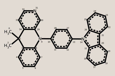 CC1(C)c2ccccc2N(c2ccc(-n3c4ccccc4c4ccccc43)cc2)c2cnccc21